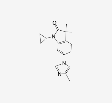 Cc1cn(-c2ccc3c(c2)N(C2CC2)C(=O)C3(C)C)cn1